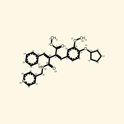 COC(=O)C(=Cc1ccc(OC2CCCC2)c(OC)c1)C(=Cc1ccccc1)C(=O)NCc1ccncc1